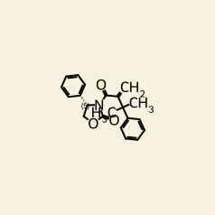 C=C(C(=O)N1C(=O)OC[C@@H]1c1ccccc1)C(C)(C)c1ccccc1